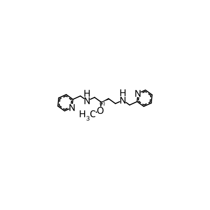 CO[C@H](CCNCc1ccccn1)CNCc1ccccn1